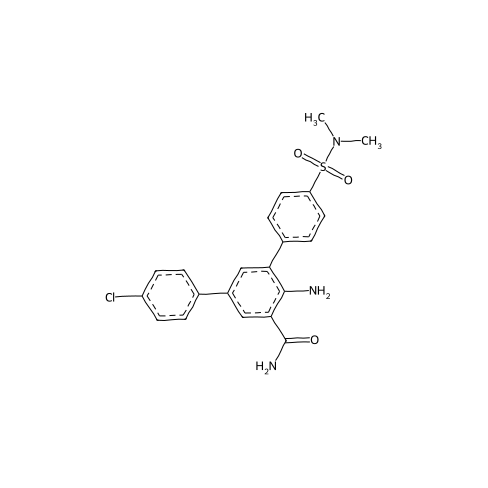 CN(C)S(=O)(=O)c1ccc(-c2cc(-c3ccc(Cl)cc3)cc(C(N)=O)c2N)cc1